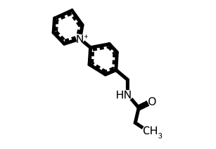 CCC(=O)NCc1ccc(-[n+]2ccccc2)cc1